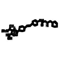 CNC(C)C(NC(=O)c1ccc(C#Cc2ccc(NC(=O)CNCc3ccccc3)cc2)cc1)C(=O)NO